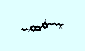 C=CCOc1ccc2cc(-c3ccc(C=CCCCC(C)O)c(F)c3)ccc2c1